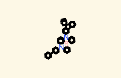 c1ccc(-c2ccc(N3c4ccccc4B4c5ccccc5N(c5ccc6c(c5)-c5ccccc5C65CC6CCC5C6)c5cccc3c54)cc2)cc1